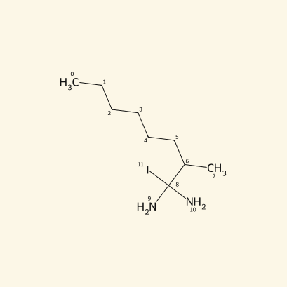 CCCCCCC(C)C(N)(N)I